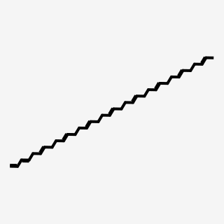 C=C/C=C/C/C=C/CC/C=C/CC/C=C/CC/C=C/CC/C=C/CC/C=C/CC/C=C/CC/C=C/C